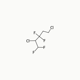 FC(F)C(Cl)C(F)(F)CCCl